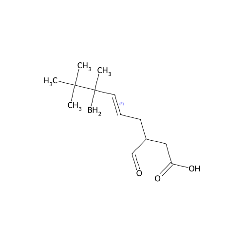 BC(C)(/C=C/CC(C=O)CC(=O)O)C(C)(C)C